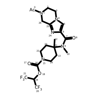 CC(=O)N1CCn2cc(C(=O)N(C)C3(C)CCN(C(=O)OC(C(F)(F)F)C(F)(F)F)CC3)nc2C1